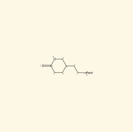 CCCCCCCC1CCC(=O)OC1